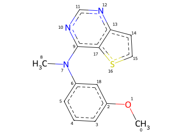 COc1cccc(N(C)c2ncnc3ccsc23)c1